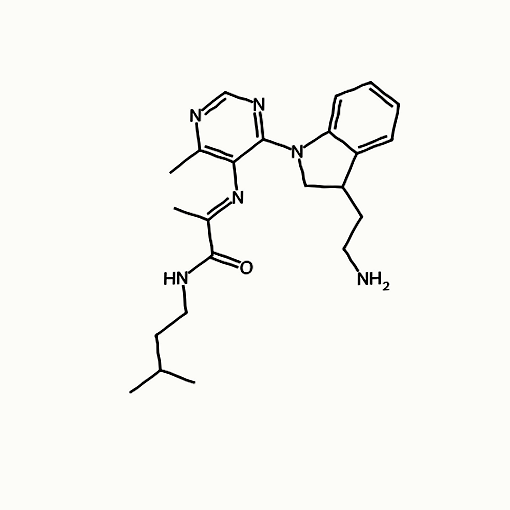 C/C(=N\c1c(C)ncnc1N1CC(CCN)c2ccccc21)C(=O)NCCC(C)C